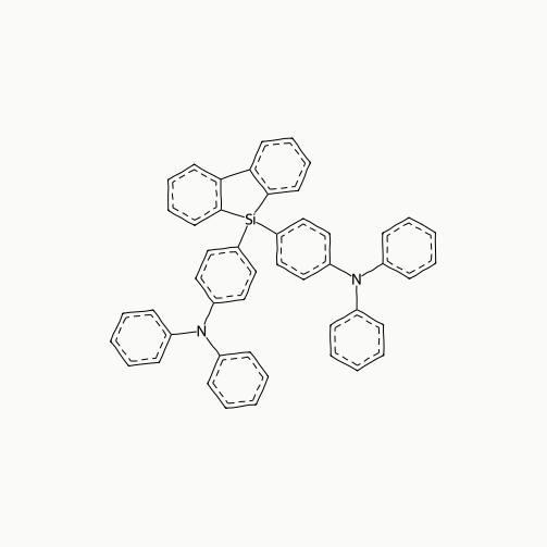 c1ccc(N(c2ccccc2)c2ccc([Si]3(c4ccc(N(c5ccccc5)c5ccccc5)cc4)c4ccccc4-c4ccccc43)cc2)cc1